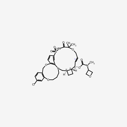 CN(C(=O)O[C@H]1/C=C/COC(C)(C)C(=O)NS(=O)(=O)c2ccc3c(c2)N(CCCOc2cc(Cl)ccc2CO3)C[C@@H]2CC[C@H]21)C1COC1